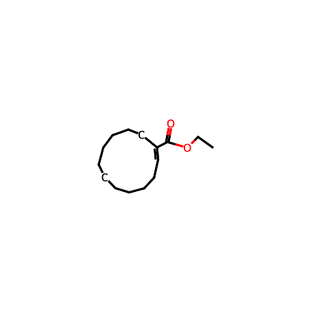 CCOC(=O)C1=CCCCCCCCCCC1